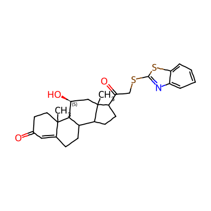 CC12CCC(=O)C=C1CCC1C2[C@@H](O)CC2(C)C(C(=O)CSc3nc4ccccc4s3)CCC12